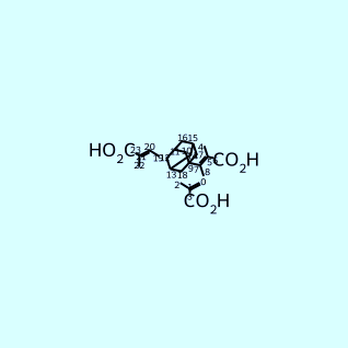 C=C(C)C(=O)O.CC(C(=O)O)=C(C)C12CC3CC(CC(C3)C1)C2.CC=C(C)C(=O)O